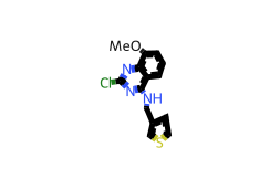 COc1cccc2c(NCc3ccsc3)nc(Cl)nc12